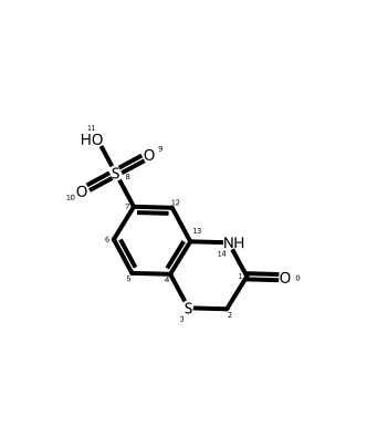 O=C1CSc2ccc(S(=O)(=O)O)cc2N1